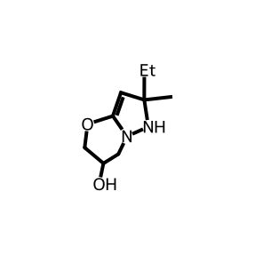 CCC1(C)C=C2OCC(O)CN2N1